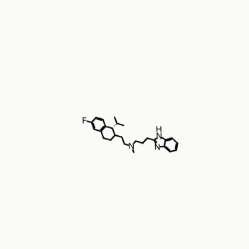 CC(C)[C@H]1c2ccc(F)cc2CCC1CCN(C)CCCc1nc2ccccc2[nH]1